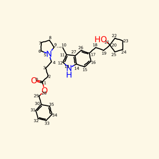 O=C(CCCN1CCC[C@@H]1Cc1c[nH]c2ccc(CCC3(O)CCCC3)cc12)OCc1ccccc1